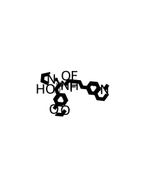 CN1CCCc2cc(CCC(F)(F)C(=O)N[C@H](CN3CCCC3)[C@H](O)c3ccc4c(c3)OCCO4)ccc21